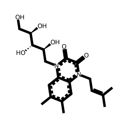 CC(C)=CCn1c(=O)c(=O)n(C[C@H](O)[C@H](O)[C@H](O)CO)c2cc(C)c(C)cc21